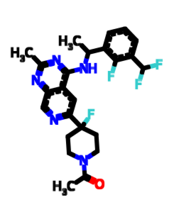 CC(=O)N1CCC(F)(c2cc3c(NC(C)c4cccc(C(F)F)c4F)nc(C)nc3cn2)CC1